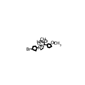 CNC(=O)C(c1cccc(OC)c1)N1CCN(c2ccc(Br)cc2)C1=O